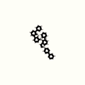 c1ccc(-c2ccc(-n3ccc4c3ccc3c5ccccc5n(-c5cccc6c5sc5c(-c7ccccc7)cccc56)c34)cc2)cc1